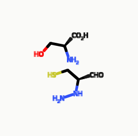 NN[C@H](C=O)CS.N[C@@H](CO)C(=O)O